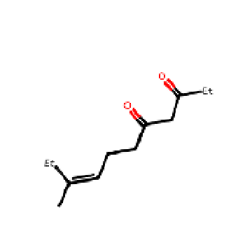 CCC(=O)CC(=O)CC/C=C(/C)CC